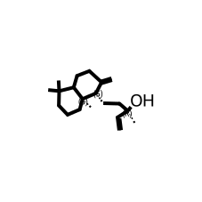 C=C[C@](C)(O)CC[C@H]1C(=C)CCC2C(C)(C)CCC[C@@]21C